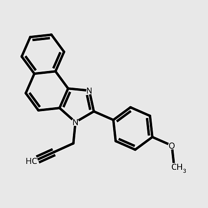 C#CCn1c(-c2ccc(OC)cc2)nc2c3ccccc3ccc21